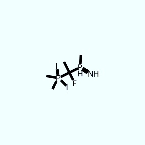 C[PH](=N)C(C)(F)P(C)(C)(I)I